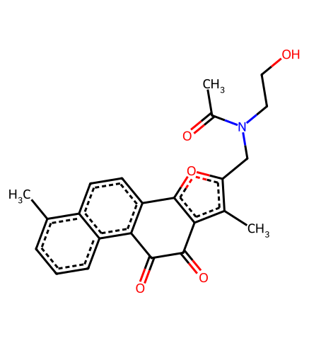 CC(=O)N(CCO)Cc1oc2c(c1C)C(=O)C(=O)c1c-2ccc2c(C)cccc12